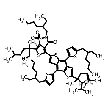 CCCCC(CC)Cc1ccc(-c2c3cc(C(C)(CC=C(C)C)C(C)C(C)C)sc3c(-c3ccc(CC(CC)CCCC)s3)c3cc(-c4sc(C(C)(CC)CCC(C)C)c5c4C(=O)N(CC(CC)CCCC)S5(=O)=O)sc23)s1